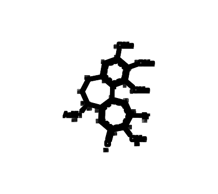 COc1cc2c(c(OC)c1OC)-c1cc(Br)c(OC)c(=O)cc1[C@@H](NC(C)=O)CC2